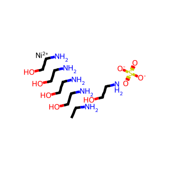 CCN.NCCO.NCCO.NCCO.NCCO.NCCO.O=S(=O)([O-])[O-].[Ni+2]